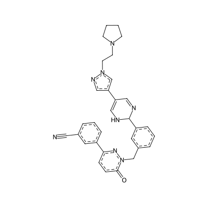 N#Cc1cccc(-c2ccc(=O)n(Cc3cccc(C4N=CC(c5cnn(CCN6CCCC6)c5)=CN4)c3)n2)c1